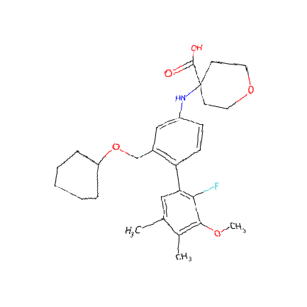 COc1c(C)c(C)cc(-c2ccc(NC3(C(=O)O)CCOCC3)cc2COC2CCCCC2)c1F